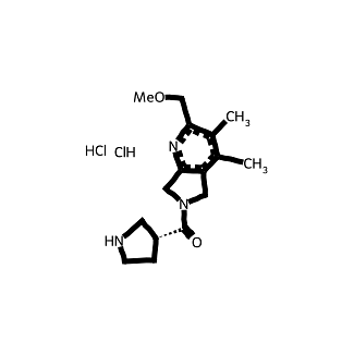 COCc1nc2c(c(C)c1C)CN(C(=O)[C@@H]1CCNC1)C2.Cl.Cl